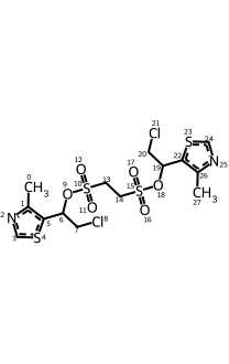 Cc1ncsc1C(CCl)OS(=O)(=O)CCS(=O)(=O)OC(CCl)c1scnc1C